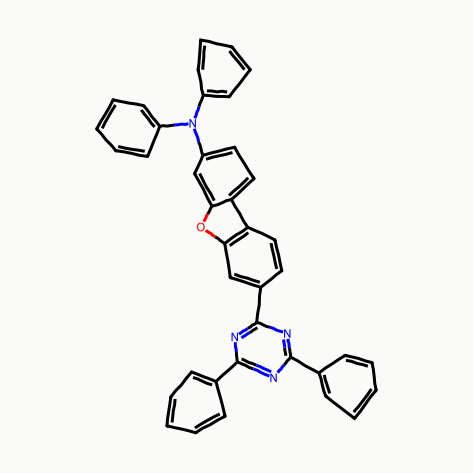 c1ccc(-c2nc(-c3ccccc3)nc(-c3ccc4c(c3)oc3cc(N(c5ccccc5)c5ccccc5)ccc34)n2)cc1